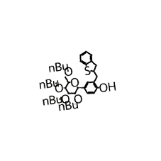 CCCCOCC1O[C@@H](c2ccc(O)c(CC3Cc4ccccc4S3)c2)[C@H](OCCCC)[C@@H](OCCCC)[C@@H]1OCCCC